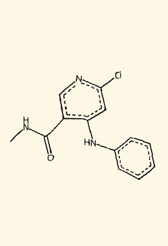 CNC(=O)c1cnc(Cl)cc1Nc1ccccc1